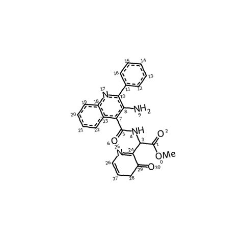 COC(=O)C(NC(=O)c1c(N)c(-c2ccccc2)nc2ccccc12)C1=NC=CCC1=O